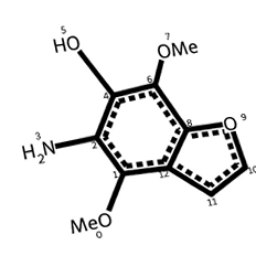 COc1c(N)c(O)c(OC)c2occc12